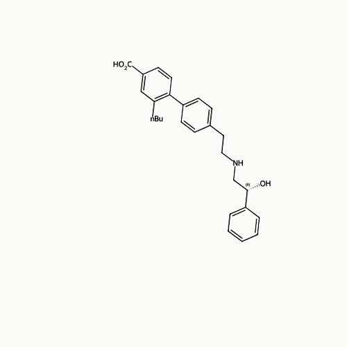 CCCCc1cc(C(=O)O)ccc1-c1ccc(CCNC[C@H](O)c2ccccc2)cc1